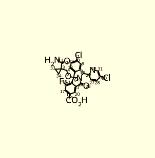 NC(=O)C1(CO[C@]2(c3ccc(Cl)cc3)c3c(F)cc(C(=O)O)cc3C(=O)N2Cc2ccc(Cl)cn2)CC1